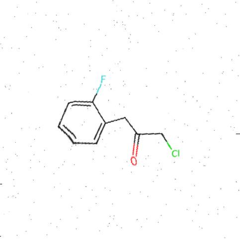 O=C(CCl)Cc1ccccc1F